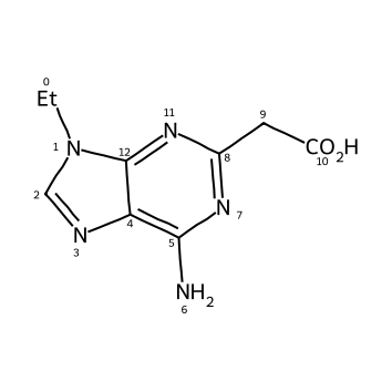 CCn1cnc2c(N)nc(CC(=O)O)nc21